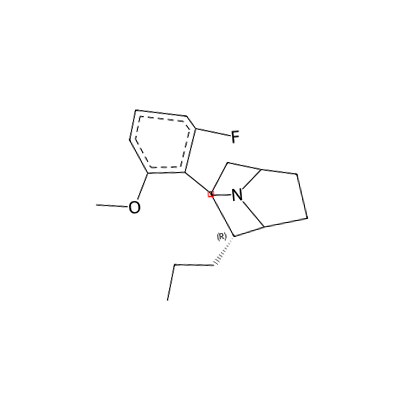 CCC[C@@H]1CCC2CCC1N2Cc1c(F)cccc1OC